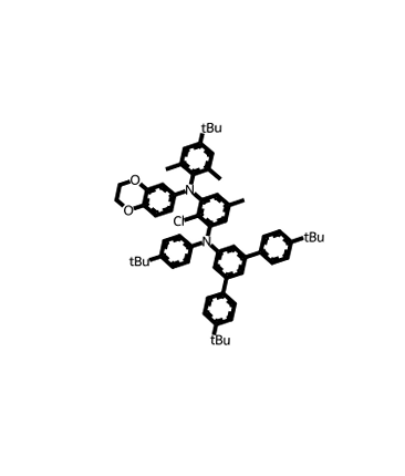 Cc1cc(N(c2ccc(C(C)(C)C)cc2)c2cc(-c3ccc(C(C)(C)C)cc3)cc(-c3ccc(C(C)(C)C)cc3)c2)c(Cl)c(N(c2ccc3c(c2)OCCO3)c2c(C)cc(C(C)(C)C)cc2C)c1